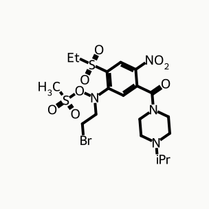 CCS(=O)(=O)c1cc([N+](=O)[O-])c(C(=O)N2CCN(C(C)C)CC2)cc1N(CCBr)OS(C)(=O)=O